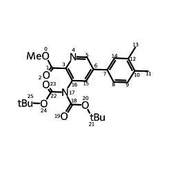 COC(=O)c1ncc(-c2ccc(C)c(C)c2)cc1N(C(=O)OC(C)(C)C)C(=O)OC(C)(C)C